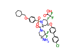 N[C@@H]1CCN(C(=O)[C@H]2C[C@@H](Oc3ccc(-c4ccc(Cl)cc4)cc3)CCN2S(=O)(=O)c2ccc(OCC3CCCCC3)cc2)CC1(F)F.O=C(O)C(F)(F)F